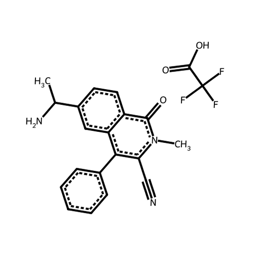 CC(N)c1ccc2c(=O)n(C)c(C#N)c(-c3ccccc3)c2c1.O=C(O)C(F)(F)F